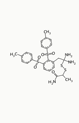 Cc1ccc(S(=O)(=O)c2cccc(CC(N)(N)SSC(C)C(N)=O)c2S(=O)(=O)c2ccc(C)cc2)cc1